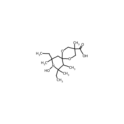 CCC1(C)CC2(OCC(C)(C(=O)O)CO2)C(C)C(C)(CC)N1O